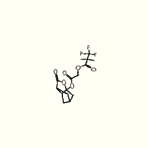 CC(C)(C(=O)OCC(=O)OC12CC3CC(C(=O)O1)C2C3)C(F)(F)F